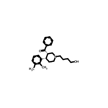 Cc1cccc([C@H]2[CH]CN(CCCCO)C[C@H]2C(=O)c2ccccc2)c1C